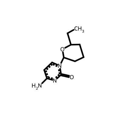 CCC1CCCC(n2ccc(N)nc2=O)O1